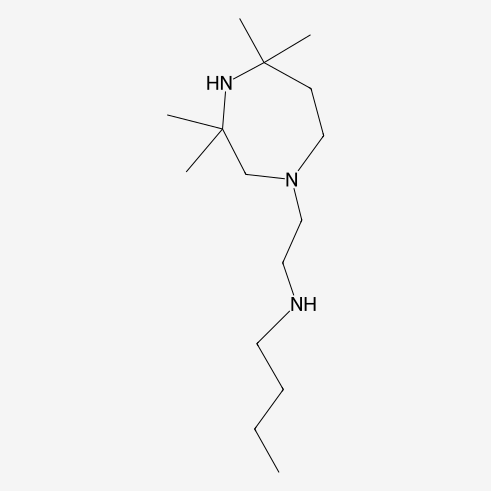 CCCCNCCN1CCC(C)(C)NC(C)(C)C1